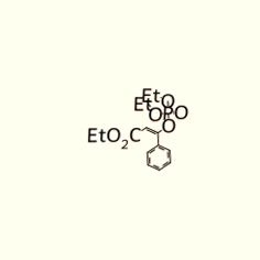 CCOC(=O)/C=C(/OP(=O)(OCC)OCC)c1ccccc1